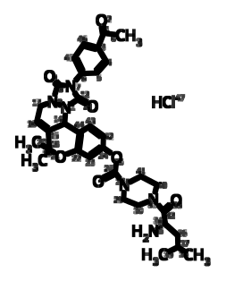 CC(=O)c1ccc(-n2c(=O)n3n(c2=O)C2C(=CC3)C(C)(C)Oc3cc(OC(=O)N4CCN(C(=O)[C@@H](N)CC(C)C)CC4)ccc32)cc1.Cl